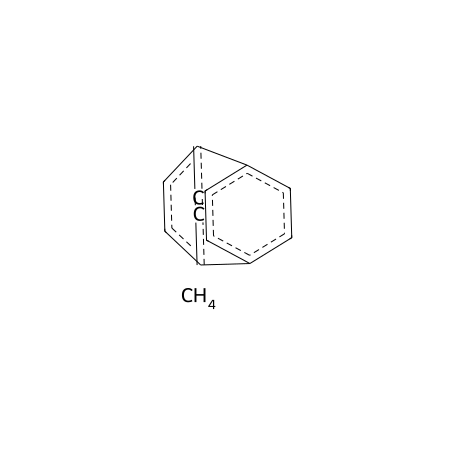 C.c1cc2ccc1-c1ccc-2cc1